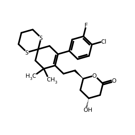 CC1(C)CC2(CC(c3ccc(Cl)c(F)c3)=C1CC[C@@H]1C[C@@H](O)CC(=O)O1)SCCCS2